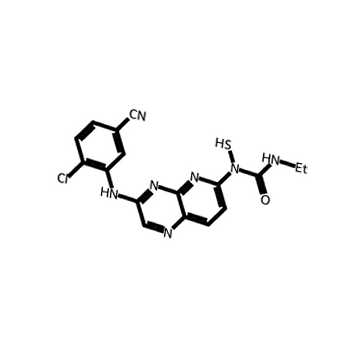 CCNC(=O)N(S)c1ccc2ncc(Nc3cc(C#N)ccc3Cl)nc2n1